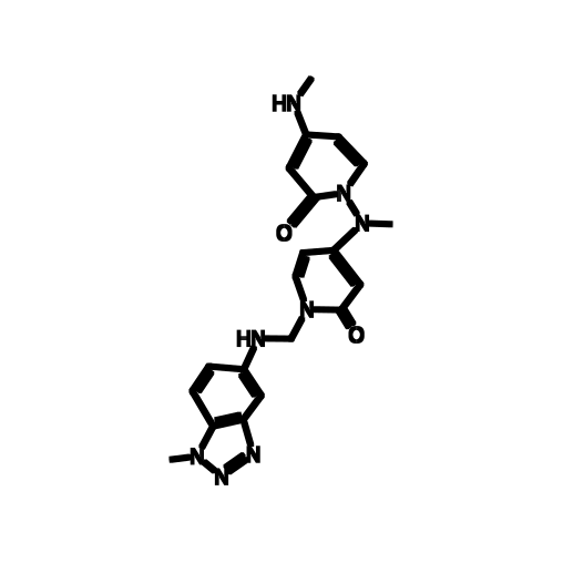 CNc1ccn(N(C)c2ccn(CNc3ccc4c(c3)nnn4C)c(=O)c2)c(=O)c1